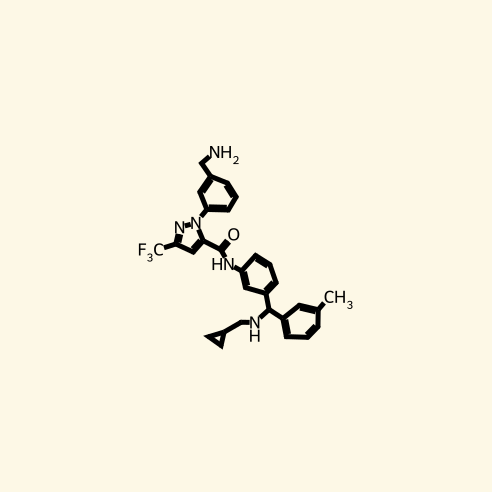 Cc1cccc(C(NCC2CC2)c2cccc(NC(=O)c3cc(C(F)(F)F)nn3-c3cccc(CN)c3)c2)c1